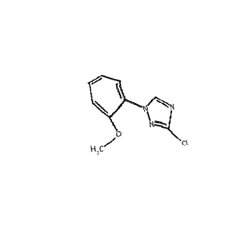 COc1c[c]ccc1-n1cnc(Cl)n1